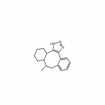 CN1Cc2ccccc2-c2nn[nH]c2C2CCCCC21